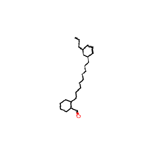 CCCC1CCCC(CCCCCCCCCC2CCCCC2C=O)C1